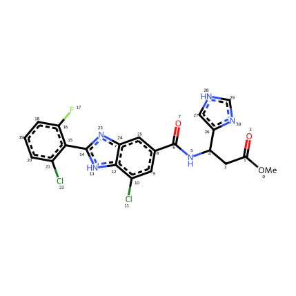 COC(=O)CC(NC(=O)c1cc(Cl)c2[nH]c(-c3c(F)cccc3Cl)nc2c1)c1c[nH]cn1